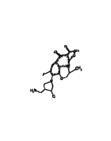 CC1COc2c(N3CC(Cl)C(CN)C3)c(F)cc3c(=O)c4c(=O)[nH]oc4n1c23